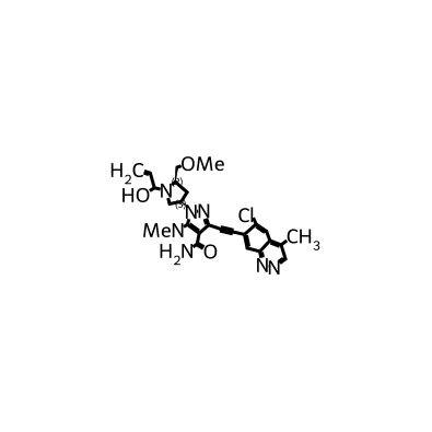 C=CC(O)N1C[C@@H](n2nc(C#Cc3cc4nncc(C)c4cc3Cl)c(C(N)=O)c2NC)C[C@@H]1COC